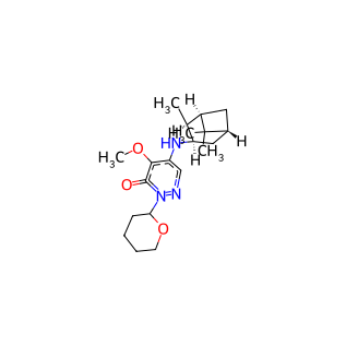 COc1c(N[C@@H]2C[C@H]3C[C@H]([C@@H]2C)C3(C)C)cnn(C2CCCCO2)c1=O